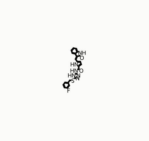 O=C1Nc2ccccc2/C1=C/c1ccc(C(=O)Nc2nnc(SCc3cccc(F)c3)[nH]2)[nH]1